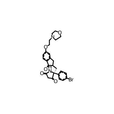 O=C1CC(=O)[C@](CC2Cc3cc(OCCN4CCOCC4)ccc3C2=O)(c2ccc(Br)cc2)N1